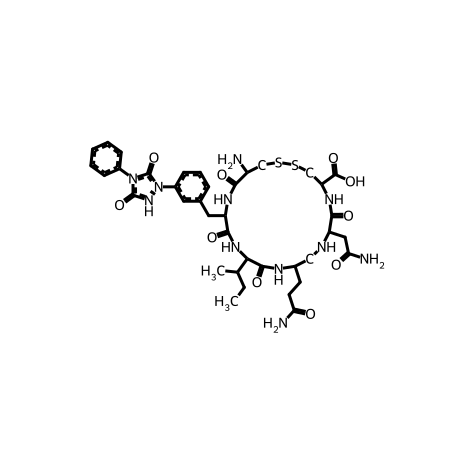 CCC(C)C1NC(=O)C(Cc2cccc(-n3[nH]c(=O)n(-c4ccccc4)c3=O)c2)NC(=O)C(N)CSSCC(C(=O)O)NC(=O)C(CC(N)=O)NCC(CCC(N)=O)NC1=O